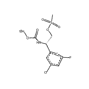 CC(C)(C)OC(=O)N[C@H](COS(C)(=O)=O)c1cc(F)cc(Cl)c1